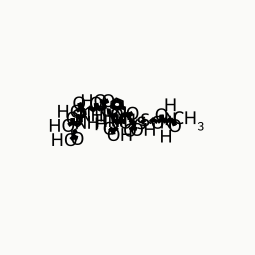 CC(=O)NNC(=O)OCCSSC[C@H](NC(=O)[C@H](Cc1ccccc1)NC(=O)[C@H](CC(=O)O)NC(=O)CC[C@H](NC(=O)CC[C@@H](NC(=S)N[C@H](CCC(=O)O)C(=O)O)C(=O)O)C(=O)O)C(=O)O